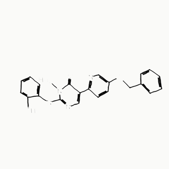 Cc1ccccc1Nc1ncc(-c2ccc(OCc3ccccc3)cn2)c(=O)n1C